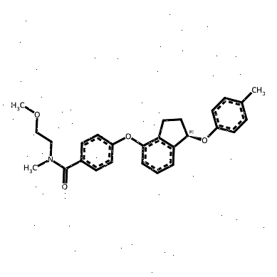 COCCN(C)C(=O)c1ccc(Oc2cccc3c2CC[C@H]3Oc2ccc(C)cc2)cc1